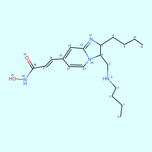 CCCCNCC1C(CCCC)N=C2C=C(/C=C/C(=O)NO)C=CN21